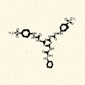 CS(=O)(=O)c1ccc(NNC(=O)Nc2nc(NC(=O)NNc3ccccc3)nc(NC(=O)NNc3ccc(S(C)(=O)=O)cc3)n2)cc1